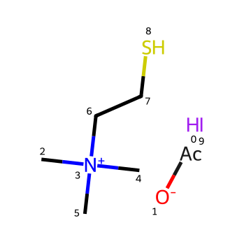 CC(=O)[O-].C[N+](C)(C)CCS.I